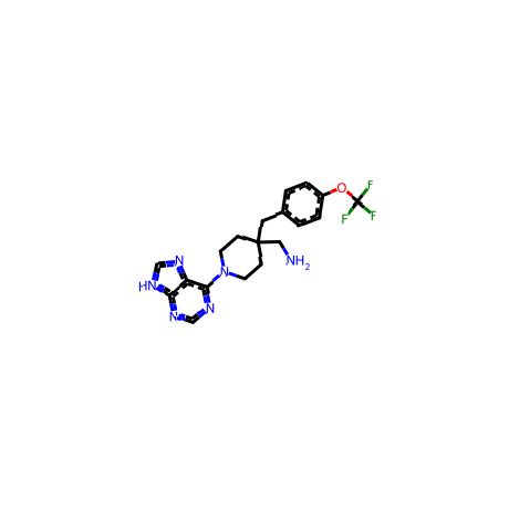 NCC1(Cc2ccc(OC(F)(F)F)cc2)CCN(c2ncnc3[nH]cnc23)CC1